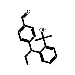 [CH2]CC(c1ccc(C=O)cc1)c1ccccc1C(C)(C)O